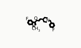 Cn1cc(C(=O)/C=C/C2CCN(Cc3ccc(F)cc3)CC2)c2cc(F)ccc21